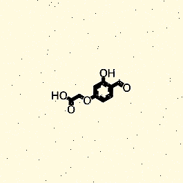 O=[C]c1ccc(OCC(=O)O)cc1O